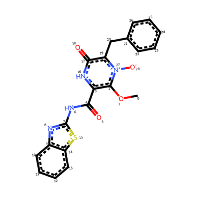 COc1c(C(=O)Nc2nc3ccccc3s2)[nH]c(=O)c(Cc2ccccc2)[n+]1[O-]